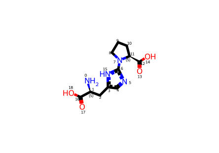 N[C@@H](Cc1cnc(N2CCC[C@H]2C(=O)O)[nH]1)C(=O)O